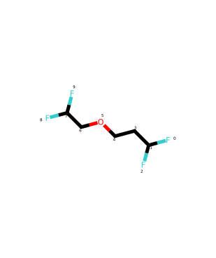 FC(F)CCOCC(F)F